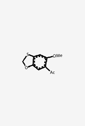 COc1cc2c(cc1C(C)=O)OCS2